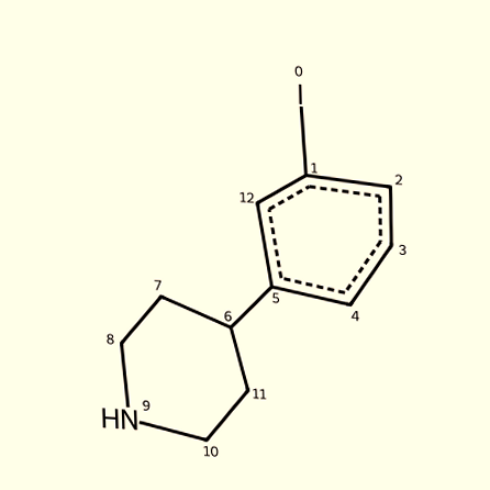 Ic1cccc(C2CCNCC2)c1